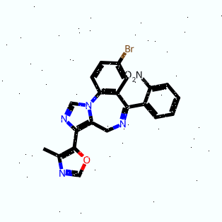 Cc1ncoc1-c1ncn2c1CN=C(c1ccccc1[N+](=O)[O-])c1cc(Br)ccc1-2